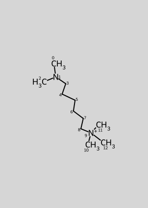 CN(C)CCCCCC[N+](C)(C)C